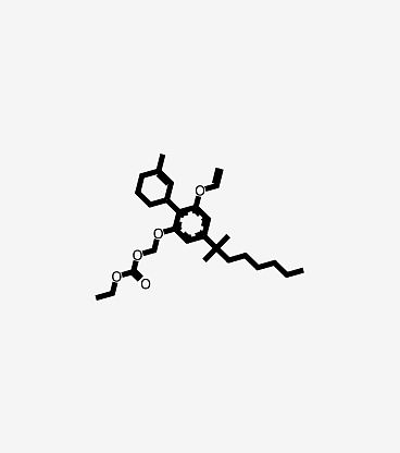 C=COc1cc(C(C)(C)CCCCCC)cc(OCOC(=O)OCC)c1C1C=C(C)CCC1